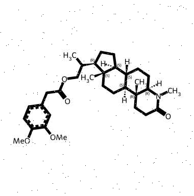 COc1ccc(CC(=O)OCC(C)[C@H]2CC[C@H]3[C@@H]4CC[C@H]5N(C)C(=O)CC[C@]5(C)[C@H]4CC[C@]23C)cc1OC